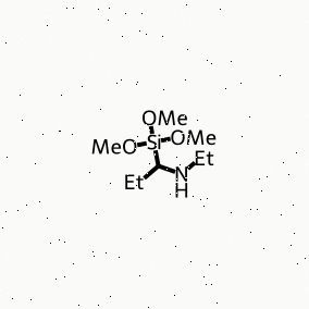 CCNC(CC)[Si](OC)(OC)OC